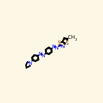 Cc1cc2sc(N=Nc3ccc(N=Nc4ccc(N5CCCC5)cc4)cc3)nc2s1